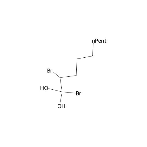 CCCCCCCCC(Br)C(O)(O)Br